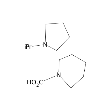 CC(C)N1CCCC1.O=C(O)N1CCCCC1